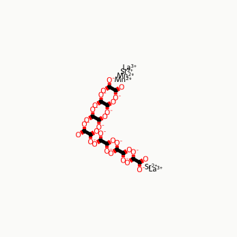 O=C([O-])C(=O)[O-].O=C([O-])C(=O)[O-].O=C([O-])C(=O)[O-].O=C([O-])C(=O)[O-].O=C([O-])C(=O)[O-].O=C([O-])C(=O)[O-].O=C([O-])C(=O)[O-].[La+3].[La+3].[Mn+2].[Mn+2].[Sr+2].[Sr+2]